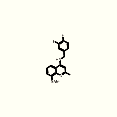 CSc1cccc2c(NCc3ccc(F)c(F)c3)cc(C)nc12